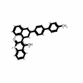 Cc1ccc(-c2ccc(C3Cc4ccccc4C(c4c(O)c5ccccc5sc4=O)C3)cc2)cc1